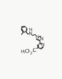 Cc1ccccc1CNCCn1cnc(-c2cc(C(=O)O)ccn2)c1